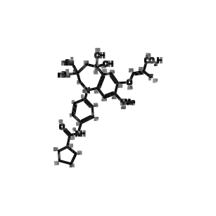 CCCCC1(CCCC)CN(c2ccc(NC(=O)C3CCCC3)cc2)c2cc(SC)c(OC=C(F)C(=O)O)cc2S(O)(O)C1